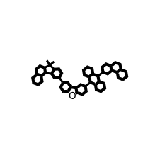 CC1(C)c2ccc(-c3ccc4oc5ccc(-c6c7ccccc7c(-c7ccc8ccc9ccccc9c8c7)c7ccccc67)cc5c4c3)cc2-c2c1ccc1ccccc21